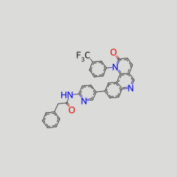 O=C(Cc1ccccc1)Nc1ccc(-c2ccc3ncc4ccc(=O)n(-c5cccc(C(F)(F)F)c5)c4c3c2)cn1